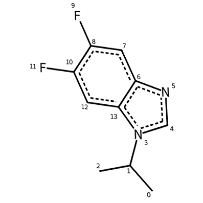 CC(C)n1cnc2cc(F)c(F)cc21